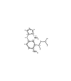 CC(C)CC(C)c1c(N)ccc(Cc2ccco2)c1N